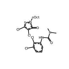 CCCCCCCCn1sc(Cl)c(Cl)c1=O.CN(C)C(=O)Nc1cccc(Cl)c1Cl